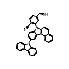 N#Cc1ccc(C=N)cc1-n1c2ccc(-n3c4ccccc4c4ccccc43)cc2c2c3ccccc3ccc21